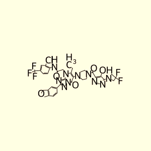 CCc1c(N2CCN(C(=O)c3ncnc(N4CC(F)(F)C4)c3O)CC2)c(=O)n2nc(-c3ccc4c(c3)COC4)nc2n1CC(=O)Nc1ccc(C(F)(F)F)cc1Cl